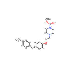 CC(C)(C)OC(=O)N1CCN(CCOc2ccc(Cc3ccc([N+](=O)[O-])cc3)cc2)CC1